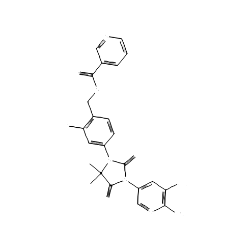 CC1(C)C(=O)N(c2cnc(C#N)c(C(F)(F)F)c2)C(=S)N1c1ccc(CNC(=O)c2cccnc2)c(Cl)c1